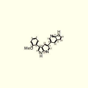 COc1ccccc1-c1c[nH]c2ncc(-c3cnc4[nH]ccc4c3)cc12